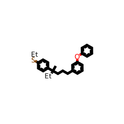 CCSc1ccc(C(C)(CC)CCCc2cccc(Oc3ccccc3)c2)cc1